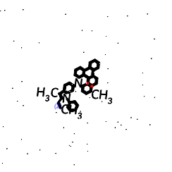 C/C=C\c1c(C)c2ccc(N(c3ccc(C)cc3)c3cccc4c5ccccc5c5ccccc5c34)cc2n1-c1ccccc1